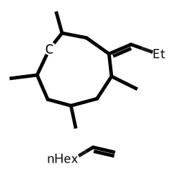 C=CCCCCCC.CCC=C1CC(C)CC(C)CC(C)CC1C